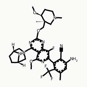 COc1nc(-c2c(C#N)c(N)cc(C)c2C(F)(F)F)c(F)c2nc(OC[C@]3(C)CN(C)CC[C@@H]3OC)nc(N3C[C@H]4CC[C@@H](C3)N4)c12